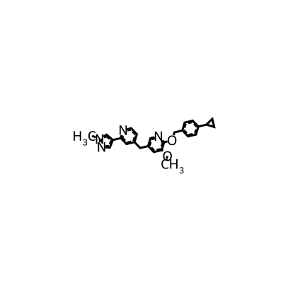 COc1cc(Cc2ccnc(-c3cnn(C)c3)c2)cnc1OCc1ccc(C2CC2)cc1